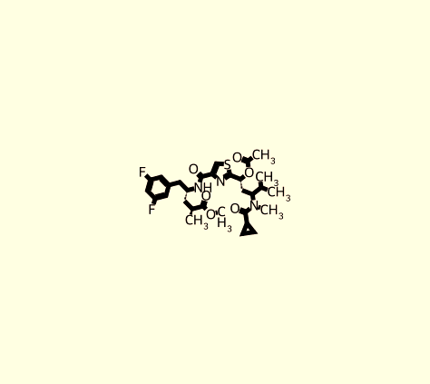 COC(=O)[C@@H](C)C[C@H](Cc1cc(F)cc(F)c1)NC(=O)c1csc([C@@H](CC(C(C)C)N(C)C(=O)C2CC2)OC(C)=O)n1